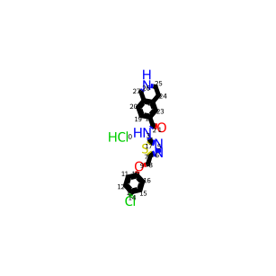 Cl.O=C(Nc1nnc(COc2ccc(Cl)cc2)s1)c1ccc2c(c1)CCNC2